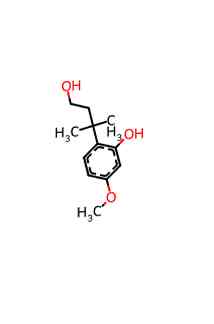 COc1ccc(C(C)(C)CCO)c(O)c1